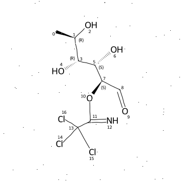 C[C@@H](O)[C@@H](O)[C@H](O)[C@@H](C=O)OC(=N)C(Cl)(Cl)Cl